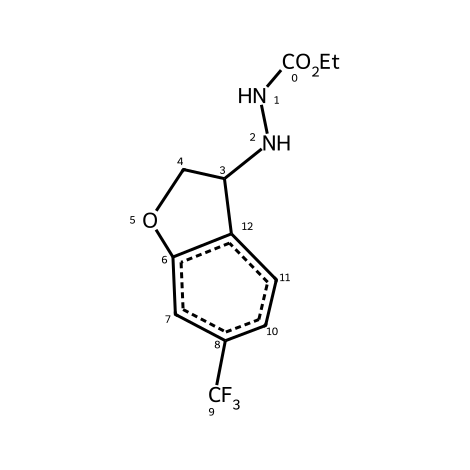 CCOC(=O)NNC1COc2cc(C(F)(F)F)ccc21